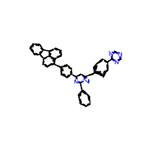 c1ccc(-c2nc(-c3ccc(-c4ncncn4)cc3)cc(-c3ccc(-c4ccc5c6c(cccc46)-c4ccccc4-5)cc3)n2)cc1